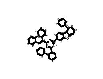 c1ccc(-c2ccccc2-c2nc(-c3ccc4c(c3)oc3cccc(-c5ccccc5)c34)nc(-c3cc4ccccc4c4ccccc34)n2)cc1